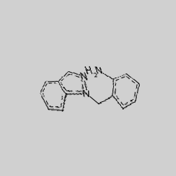 Nc1ccccc1Cn1ncc2ccccc21